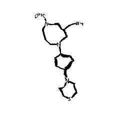 CC(C)C1CN(C=O)CCN(c2ccc(N3CCSCC3)cc2)C1